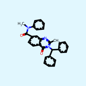 Cc1nc2cc(C(=O)N(C)c3ccccc3)ccc2c(=O)n1C(c1ccccc1)c1ccccc1